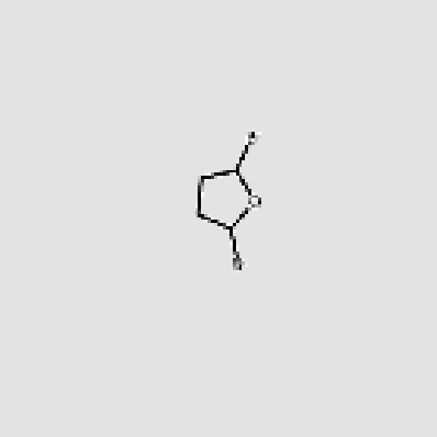 BrC1CCC(Br)O1